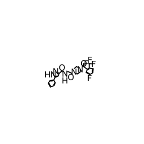 O=C(NCC(=O)N1CCN(C(=O)c2cc(F)ccc2C(F)(F)F)CC1)c1cc(-c2ccccc2)[nH]n1